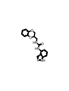 O=C(NCC1COc2ccccc2O1)Nc1cccc2[nH]ncc12